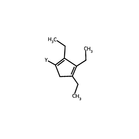 CCC1=C(CC)C(CC)=[C]([Y])C1